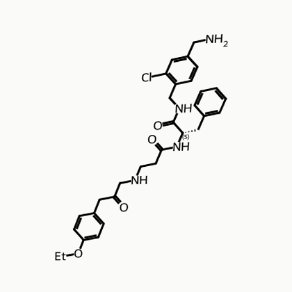 CCOc1ccc(CC(=O)CNCCC(=O)N[C@@H](Cc2ccccc2)C(=O)NCc2ccc(CN)cc2Cl)cc1